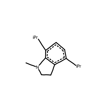 CC(C)c1ccc(C(C)C)c2c1CCN2C